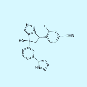 N#Cc1ccc([C@H]2C[C@](O)(c3cccc(-c4ccn[nH]4)c3)c3cncn32)c(F)c1